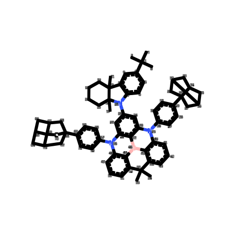 CC(C)(C)c1ccc2c(c1)C1(C)CCCCC1(C)N2c1cc2c3c(c1)N(c1ccc(C45CC6CC4CC6C5)cc1)c1cccc4c1B3c1c(cccc1C4(C)C)N2c1ccc(C23CC4CC5CC(C2)C54C3)cc1